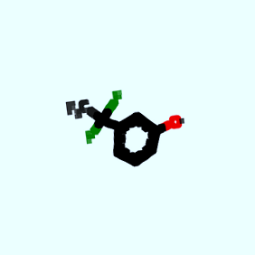 [O]c1cccc(C(F)(F)C(F)(F)F)c1